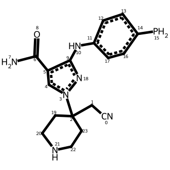 N#CCC1(n2cc(C(N)=O)c(Nc3ccc(P)cc3)n2)CCNCC1